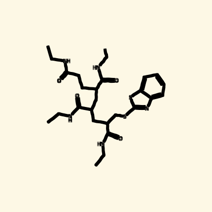 CCNC(=O)CCC(CC(CC(CSc1nc2ccccc2s1)C(=O)NCC)C(=O)NCC)C(=O)NCC